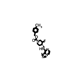 Cc1ccc(COC(=O)N2CC[C@@H](CNc3nccn4cnnc34)C(F)C2)cc1